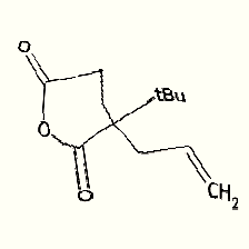 C=CCC1(C(C)(C)C)CC(=O)OC1=O